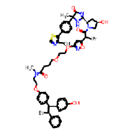 CC/C(=C(/c1ccc(O)cc1)c1ccc(OCCN(C)C(=O)CCCOCCOc2cc(C(C(=O)N3C[C@H](O)C[C@@H]3C3=NC(=O)C(C)(c4ccc(-c5scnc5C)cc4)N3)C(C)C)on2)cc1)c1ccccc1